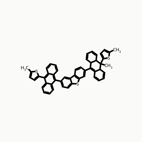 Cc1ccc(-c2c3ccccc3c(-c3ccc4sc5cc(C6=C7C=CC=CC7C(C)(c7ccc(C)s7)C7C=CC=CC67)ccc5c4c3)c3ccccc23)s1